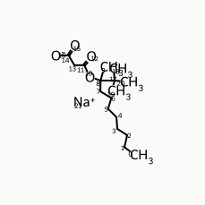 CCCCCCCCC(C)(OC(=O)CC(=O)[O-])C(C)(C)C.[Na+]